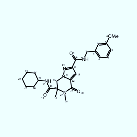 COc1cccc(CNC(=O)c2cc3n(n2)CC(C)(C(=O)NC2CCCCC2)N(C)C3=O)c1